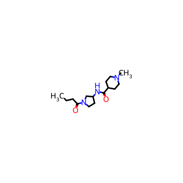 CCCC(=O)N1CCC(NC(=O)C2CCN(C)CC2)C1